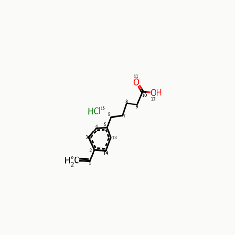 C=Cc1ccc(CCCCC(=O)O)cc1.Cl